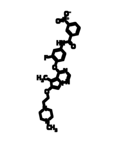 Cc1c(OCCN2CCN(C)CC2)cn2ncnc(Oc3ccc(NC(=O)c4cccc([N+](=O)[O-])c4)cc3F)c12